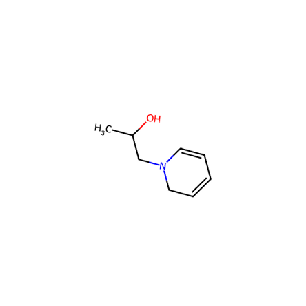 CC(O)CN1C=CC=CC1